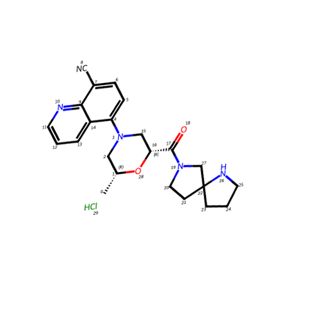 C[C@@H]1CN(c2ccc(C#N)c3ncccc23)C[C@H](C(=O)N2CCC3(CCCN3)C2)O1.Cl